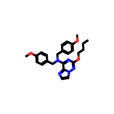 CCCCOc1nc(N(Cc2ccc(OC)cc2)Cc2ccc(OC)cc2)c2nccn2n1